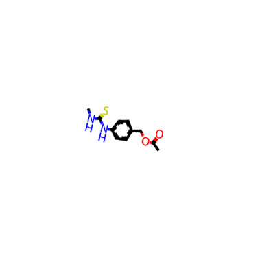 CNC(=S)Nc1ccc(COC(C)=O)cc1